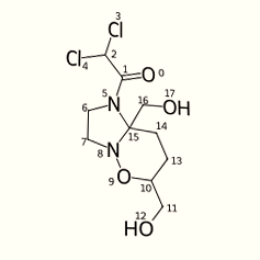 O=C(C(Cl)Cl)N1CCN2OC(CO)CCC21CO